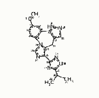 COc1ccc2c(c1)-c1[nH]ncc1Cc1c(-c3noc(C(C)C)n3)ncn1-2